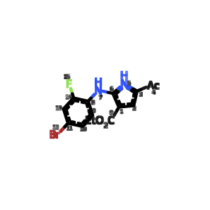 CCOC(=O)c1cc(C(C)=O)[nH]c1Nc1ccc(Br)cc1F